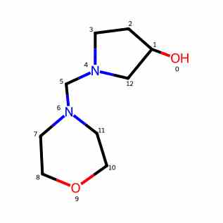 OC1CCN(CN2CCOCC2)C1